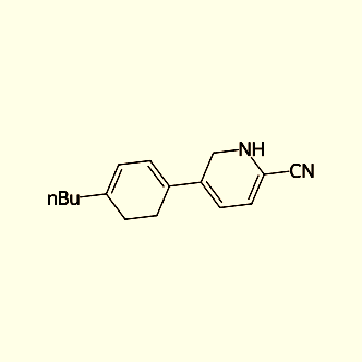 CCCCC1=CC=C(C2=CC=C(C#N)NC2)CC1